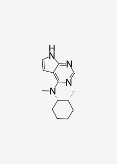 C[C@@H]1CCCC[C@@H]1N(C)c1ncnc2[nH]ccc12